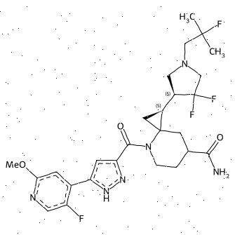 COc1cc(-c2cc(C(=O)N3CCC(C(N)=O)CC34C[C@H]4[C@H]3CN(CC(C)(C)F)CC3(F)F)n[nH]2)c(F)cn1